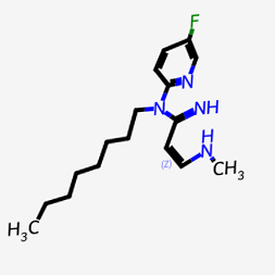 CCCCCCCCN(C(=N)/C=C\NC)c1ccc(F)cn1